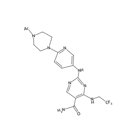 CC(=O)N1CCN(c2ccc(Nc3ncc(C(N)=O)c(NCC(F)(F)F)n3)cn2)CC1